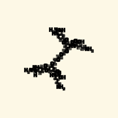 N=C(N)Nc1ccc(C(=O)Oc2cc(OCCOCCOCCOc3cc(OC(=O)c4ccc(NC(=N)N)cc4)cc(C(=O)NC(CCCCN)C(=O)O)c3)cc(C(=O)NC(CCCCN)C(=O)O)c2)cc1